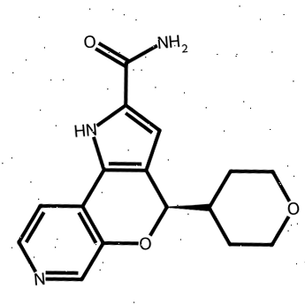 NC(=O)c1cc2c([nH]1)-c1ccncc1O[C@@H]2C1CCOCC1